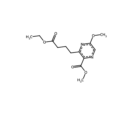 CCOC(=O)CCCc1nc(OC)cnc1C(=O)OC